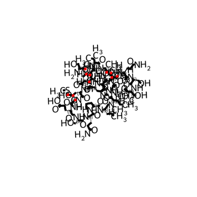 CC[C@H](C)[C@H](NC(=O)[C@H](CC(C)C)NC(=O)[C@@H]1CCCN1C(=O)[C@H](CCC(N)=O)NC(=O)[C@H](CO)NC(=O)[C@H](CCC(=O)O)NC(=O)[C@H](CCSC)NC(=O)[C@H](CC(=O)O)NC(=O)[C@H](CC(=O)O)NC(=O)[C@H](Cc1c[nH]cn1)NC(=O)[C@H](CC(C)C)NC(=O)[C@H](C)NC(=O)[C@@H](NC(=O)[C@@H](NC(=O)[C@@H](N)CO)C(C)C)C(C)C)C(=O)NCC(=O)N[C@H](C(=O)N[C@@H](CCC(N)=O)C(=O)N[C@@H](CO)C(=O)N[C@H](C(=O)O)[C@@H](C)O)[C@@H](C)O